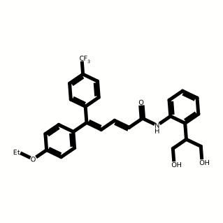 CCOc1ccc(/C(=C/C=C/C(=O)Nc2ccccc2C(CO)CO)c2ccc(C(F)(F)F)cc2)cc1